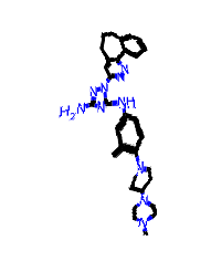 Cc1cc(Nc2nc(N)nn2-c2cc3c(nn2)-c2ccccc2CCC3)ccc1N1CCC(N2CCN(C)CC2)CC1